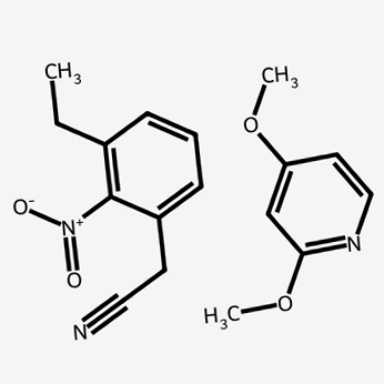 CCc1cccc(CC#N)c1[N+](=O)[O-].COc1ccnc(OC)c1